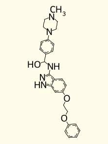 CN1CCN(c2ccc(C(O)Nc3n[nH]c4cc(OCCOc5ccccc5)ccc34)cc2)CC1